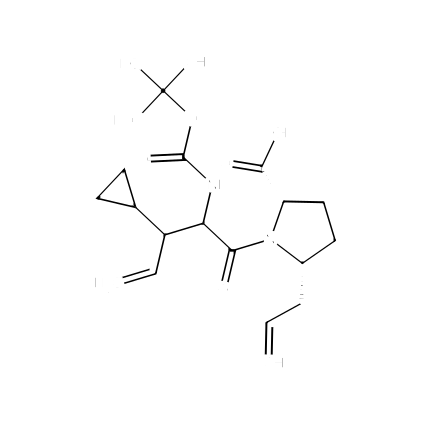 C=CC[C@H]1CC[C@@H](C(=O)O)N1C(=O)C(NC(=O)OC(C)(C)C)C(C=C)C1CC1